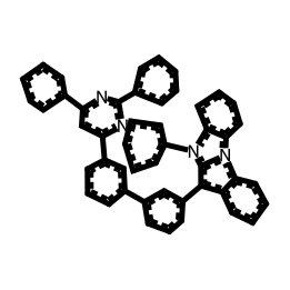 c1ccc(-c2cc(-c3cccc(-c4cccc(-c5c6ccccc6n6c7ccccc7n(-c7ccccc7)c56)c4)c3)nc(-c3ccccc3)n2)cc1